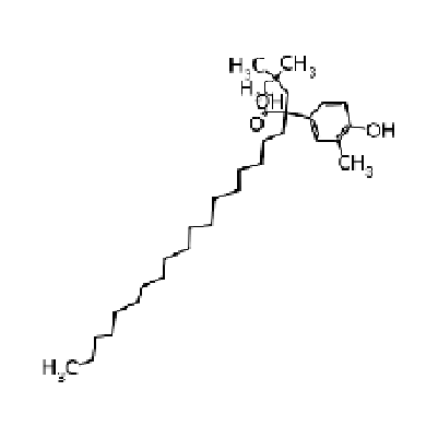 CCCCCCCCCCCCCCCCCCC(CC(C)(C)C)(C(=O)O)c1ccc(O)c(C)c1